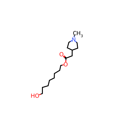 CN1CCC(CC(=O)OCCCCCCCCO)CC1